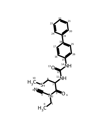 CCN(C#N)C(=O)C(CSC)NC(=O)Nc1ccc(-c2ccccc2)cc1